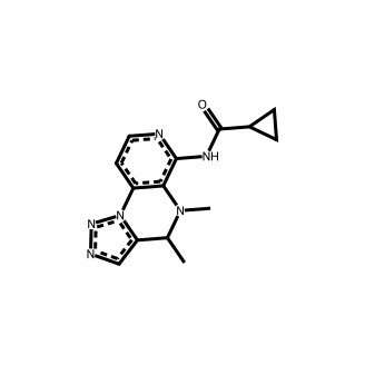 CC1c2cnnn2-c2ccnc(NC(=O)C3CC3)c2N1C